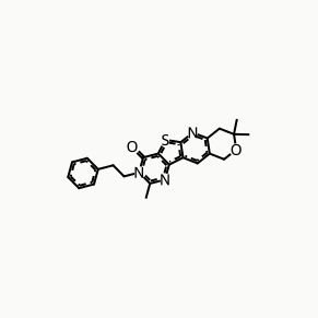 Cc1nc2c(sc3nc4c(cc32)COC(C)(C)C4)c(=O)n1CCc1ccccc1